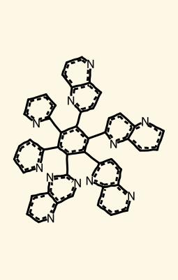 c1ccc(-c2c(-c3ccc4ncccc4n3)c(-c3ccc4ncccc4n3)c(-c3ccc4ncccc4n3)c(-c3ncc4ncccc4n3)c2-c2ccccn2)nc1